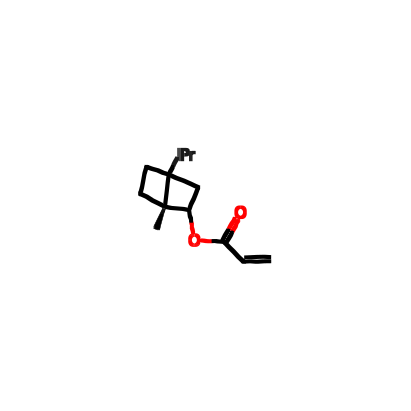 C=CC(=O)OC1CC2(C(C)C)CC[C@@]12C